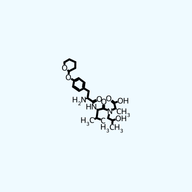 CC(O)CN(C(=O)[C@@H](NC(=O)[C@@H](N)Cc1ccc(OC2CCCCO2)cc1)C(C)C)[C@@H](C)C(=O)O